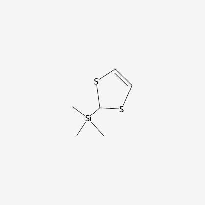 C[Si](C)(C)C1SC=CS1